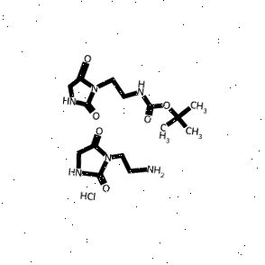 CC(C)(C)OC(=O)NCCN1C(=O)CNC1=O.Cl.NCCN1C(=O)CNC1=O